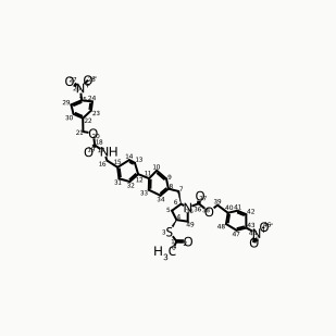 CC(=O)S[C@H]1C[C@@H](Cc2ccc(-c3ccc(CNC(=O)OCc4ccc([N+](=O)[O-])cc4)cc3)cc2)N(C(=O)OCc2ccc([N+](=O)[O-])cc2)C1